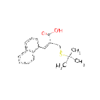 CC(C)(C)SC/C(=C/c1cccc2ccccc12)C(=O)O